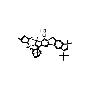 Cl.Cl.[CH2]=[Zr]([CH3])([C]1=CC(C)=CC1C)([C]1=C(C(C)(C)C)c2cc3c(cc2C1(C)C)Cc1cc2c(cc1-3)C(C(C)(C)C)=CC2(C)C)[c]1ccccc1